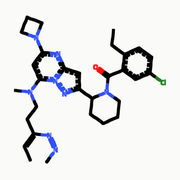 C/C=C(CCN(C)c1cc(N2CCC2)nc2cc(C3CCCCN3C(=O)c3cc(Cl)ccc3CC)nn12)\N=N/C